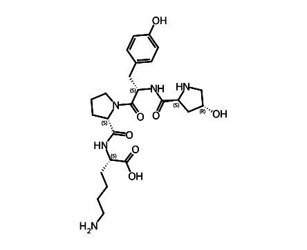 NCCCC[C@H](NC(=O)[C@@H]1CCCN1C(=O)[C@H](Cc1ccc(O)cc1)NC(=O)[C@@H]1C[C@@H](O)CN1)C(=O)O